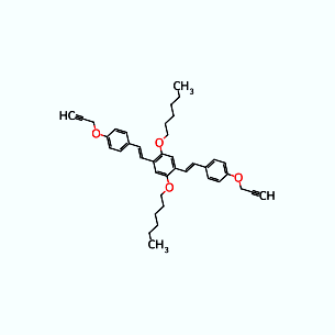 C#CCOc1ccc(/C=C/c2cc(OCCCCCC)c(/C=C/c3ccc(OCC#C)cc3)cc2OCCCCCC)cc1